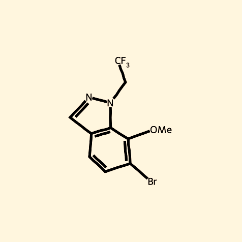 COc1c(Br)ccc2cnn(CC(F)(F)F)c12